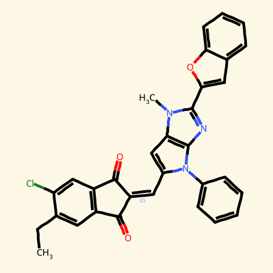 CCc1cc2c(cc1Cl)C(=O)/C(=C\c1cc3c(nc(-c4cc5ccccc5o4)n3C)n1-c1ccccc1)C2=O